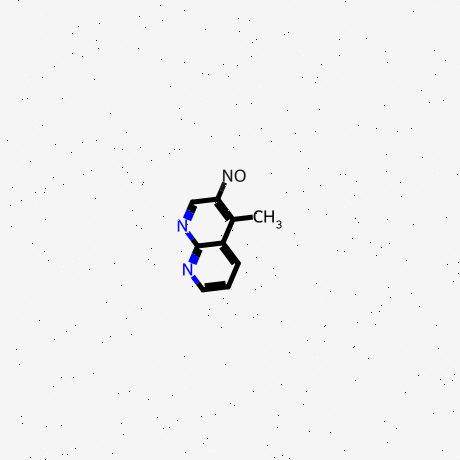 Cc1c(N=O)cnc2ncccc12